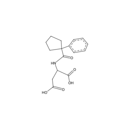 O=C(O)CC(NC(=O)C1(c2ccccc2)CCCC1)C(=O)O